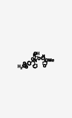 COC1(c2cncc(OC/C(=N\O)c3nc(-c4ccccc4)c(-c4ccc(S(N)(=O)=O)cc4)o3)c2)CCOCC1